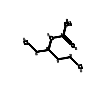 O=C(O)OC(CCl)CCCl